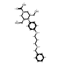 O=C(O)N1C[C@@H](CO)[C@@H](c2ccc(OCCCOCc3ccccc3)cc2)[C@@H](CO)C1